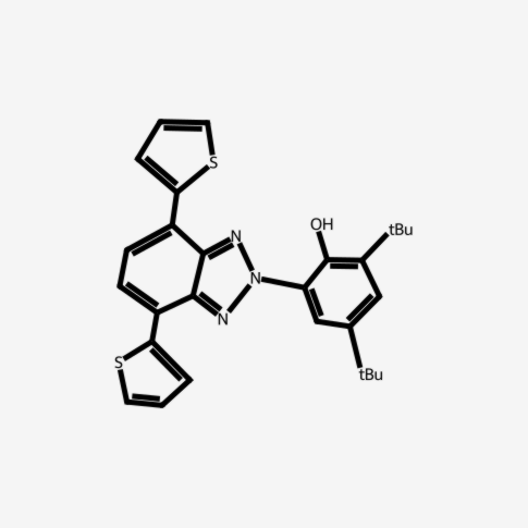 CC(C)(C)c1cc(-n2nc3c(-c4cccs4)ccc(-c4cccs4)c3n2)c(O)c(C(C)(C)C)c1